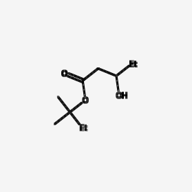 CCC(O)CC(=O)OC(C)(C)CC